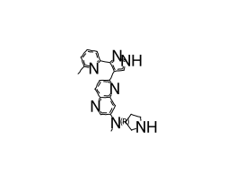 Cc1cccc(-c2n[nH]cc2-c2ccc3ncc(N(C)[C@@H]4CCNC4)cc3n2)n1